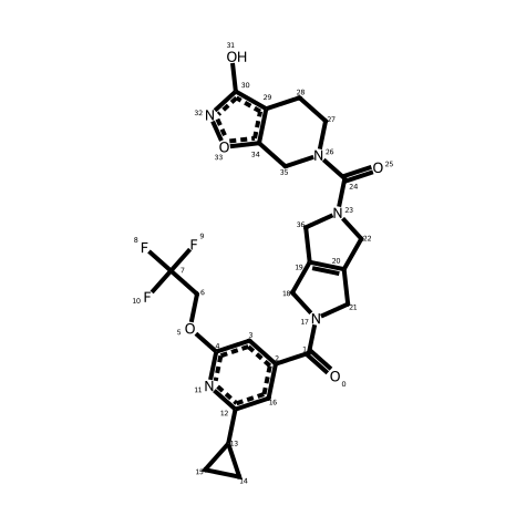 O=C(c1cc(OCC(F)(F)F)nc(C2CC2)c1)N1CC2=C(C1)CN(C(=O)N1CCc3c(O)noc3C1)C2